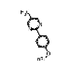 CCCCOc1ccc(-c2ncc(C)cn2)cc1